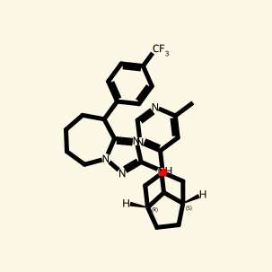 Cc1cc(N2C[C@H]3CC[C@@H](C2)C3Nc2nc3n(n2)CCCCC3c2ccc(C(F)(F)F)cc2)ncn1